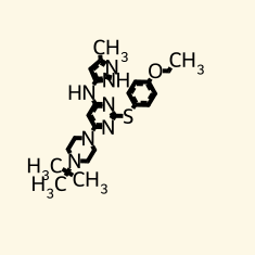 CCOc1ccc(Sc2nc(Nc3cc(C)n[nH]3)cc(N3CCN(C(C)(C)C)CC3)n2)cc1